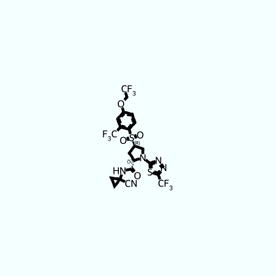 N#CC1(NC(=O)[C@@H]2C[C@@H](S(=O)(=O)c3ccc(OCC(F)(F)F)cc3C(F)(F)F)CN2c2nnc(C(F)(F)F)s2)CC1